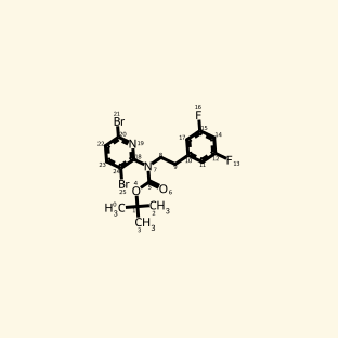 CC(C)(C)OC(=O)N(CCc1cc(F)cc(F)c1)c1nc(Br)ccc1Br